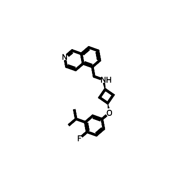 CC(C)c1cc(O[C@H]2C[C@H](NCc3cccc4cnccc34)C2)ccc1F